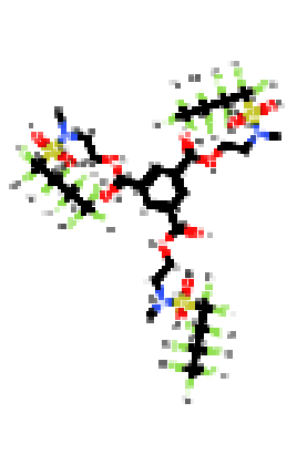 CN(CCOC(=O)c1cc(C(=O)OCCN(C)S(=O)(=O)C(F)(F)C(F)(F)C(F)(F)C(F)(F)F)cc(C(=O)OCCN(C)S(=O)(=O)C(F)(F)C(F)(F)C(F)(F)C(F)(F)F)c1)S(=O)(=O)C(F)(F)C(F)(F)C(F)(F)C(F)(F)F